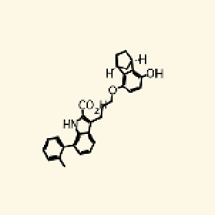 Cc1ccccc1-c1cccc2c(CCCOc3ccc(O)c4c3[C@H]3CC[C@@H]4C3)c(C(=O)O)[nH]c12